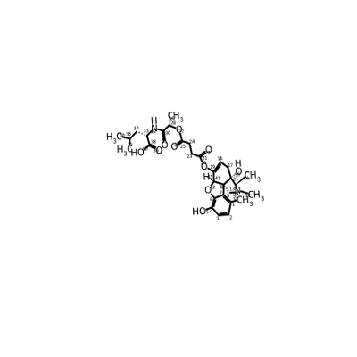 Cc1ccc(O)c2c1[C@]13CCN(C)[C@H](C)[C@]1(O)CC=C(OC(=O)CCC(=O)O[C@@H](C)C(=O)N[C@@H](CC(C)C)C(=O)O)[C@@H]3O2